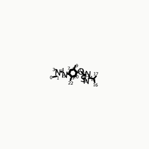 CCN(C)C=Nc1cc(C)c(Oc2nc(C(C)C)ns2)cc1C